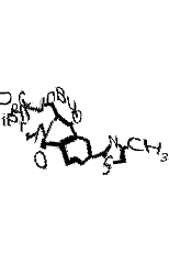 CCCCOc1c(CNC(=O)O)n(CC(C)C)c(=O)c2ccc(-c3nc(C)cs3)cc12